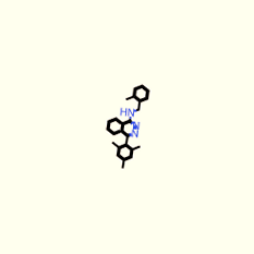 Cc1cc(C)c(-c2nnc(NCc3ccccc3C)c3ccccc23)c(C)c1